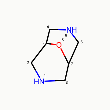 C1NCC2CNCC1O2